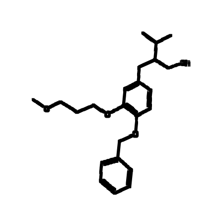 COCCCOc1cc(CC(CO)C(C)C)ccc1OCc1ccccc1